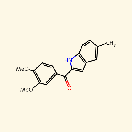 COc1ccc(C(=O)c2cc3cc(C)ccc3[nH]2)cc1OC